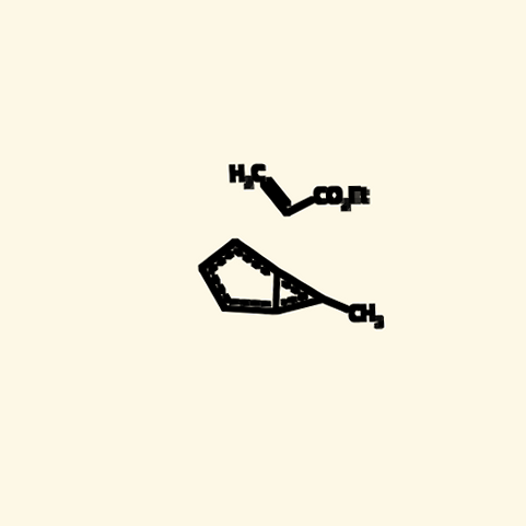 C=CC(=O)OCC.Cc1c2cccc1-2